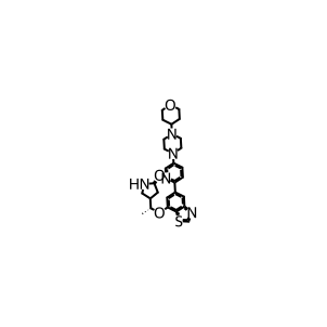 C[C@@H](Oc1cc(-c2ccc(N3CCN(C4CCOCC4)CC3)cn2)cc2ncsc12)C1CNC(=O)C1